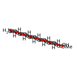 COc1cc(OCCCC(=O)NCCOCCOCC(=O)NCCOCCOCC(=O)NCCOCCOCC(=O)NCCOCCOCC(=O)NCCOCCOCC(=O)NCCOCCOCC(=O)NCCOCCOCC(=O)NCCOCCOCC(=O)NCCOCCOCC(=O)NCCOCCOCC(N)=O)ccc1CO